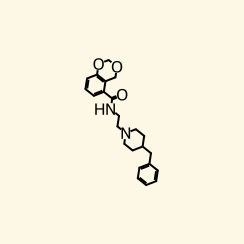 O=C(NCCN1CCC(Cc2ccccc2)CC1)c1cccc2c1COCO2